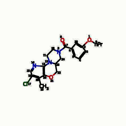 CCCOc1cccc(C(=O)N2CCN3c4ncc(Cl)c(C)c4OCC3C2)c1